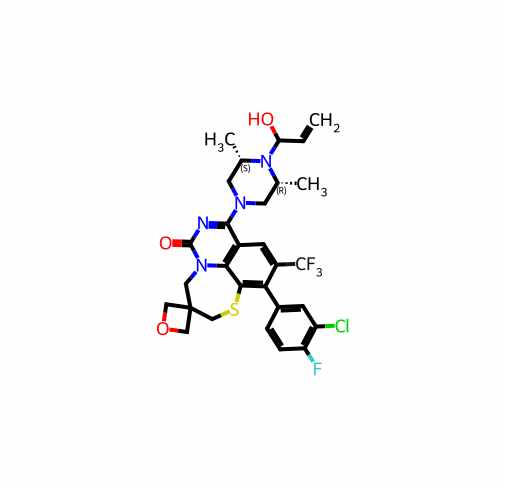 C=CC(O)N1[C@H](C)CN(c2nc(=O)n3c4c(c(-c5ccc(F)c(Cl)c5)c(C(F)(F)F)cc24)SCC2(COC2)C3)C[C@@H]1C